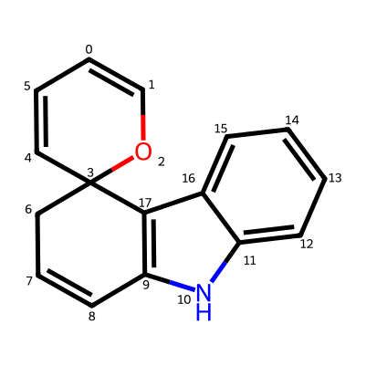 C1=COC2(C=C1)CC=Cc1[nH]c3ccccc3c12